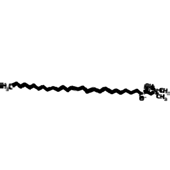 CCCCCCCCCCCCCCCCCCCCCCCCCC/[P+]([O-])=C(\O)C[N+](C)(C)C